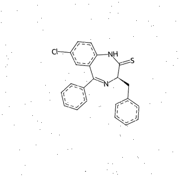 S=C1Nc2ccc(Cl)cc2C(c2ccccc2)=N[C@@H]1Cc1ccccc1